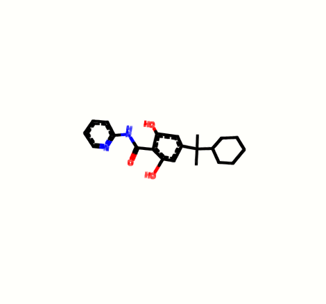 CC(C)(c1cc(O)c(C(=O)Nc2ccccn2)c(O)c1)C1CCCCC1